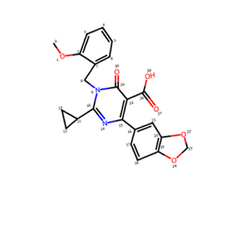 COc1ccccc1Cn1c(C2CC2)nc(-c2ccc3c(c2)OCO3)c(C(=O)O)c1=O